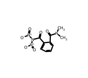 CN(C)C(=O)c1ccccc1C(=O)N([N+](=O)[O-])[N+](=O)[O-]